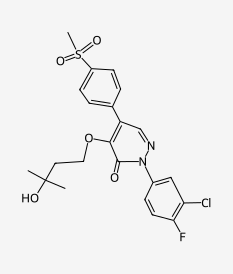 CC(C)(O)CCOc1c(-c2ccc(S(C)(=O)=O)cc2)cnn(-c2ccc(F)c(Cl)c2)c1=O